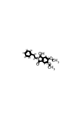 COc1cc2c(cc1OC)C(O)N(CCc1ccccc1)C2=O